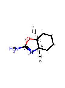 NC1=N[C@H]2CCCC[C@@H]2O1